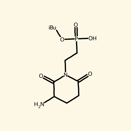 CCC(C)OP(=O)(O)CCN1C(=O)CCC(N)C1=O